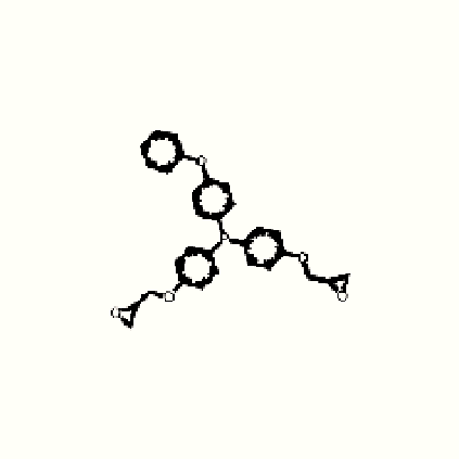 c1ccc(Oc2ccc(P(c3ccc(OCC4CO4)cc3)c3ccc(OCC4CO4)cc3)cc2)cc1